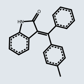 Cc1ccc(C(=C2C(=O)Nc3ccccc32)c2ccccc2)cc1